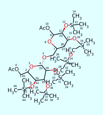 CC(=O)OCC1O[C@H](OCC2OC(OC(C)=O)[C@@H](O[Si](C)(C)C)C(O[Si](C)(C)C)[C@@H]2O[Si](C)(C)C)C(O[Si](C)(C)C)C(O[Si](C)(C)C)[C@H]1O[Si](C)(C)C